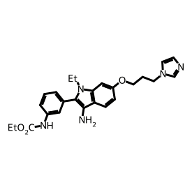 CCOC(=O)Nc1cccc(-c2c(N)c3ccc(OCCCn4ccnc4)cc3n2CC)c1